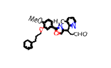 COc1ccc(-c2nc(C(CC=O)c3ncccc3C)co2)cc1OCCCc1ccccc1